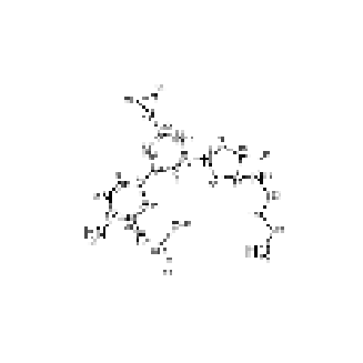 Nc1ncc(-c2cc(N3CC4CN(CCCO)C4C3)nc(C3CC3)n2)cc1OC(F)F